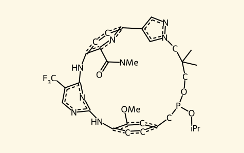 CNC(=O)c1nc2ccc1Nc1nc(ncc1C(F)(F)F)Nc1ccc(cc1OC)CP(OC(C)C)OCC(C)(C)Cn1cc-2cn1